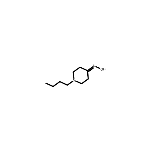 CCCCN1CCC(=NO)CC1